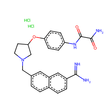 Cl.Cl.N=C(N)c1ccc2ccc(CN3CCC(Oc4ccc(NC(=O)C(N)=O)cc4)C3)cc2c1